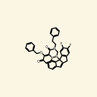 O=C1c2c(OCc3ccccc3)c(=O)ccn2N(C23C(=Cc4ccccc42)Cc2cc(F)c(F)cc23)CN1CCc1ccccc1